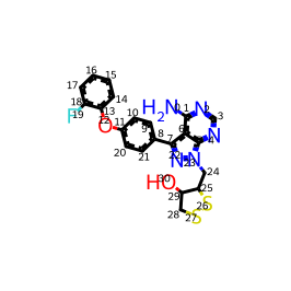 Nc1ncnc2c1c(-c1ccc(Oc3ccccc3F)cc1)nn2CC1SSCC1O